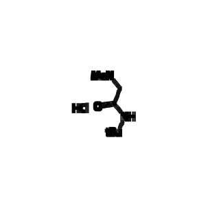 CNCC(=O)NC(C)(C)C.Cl